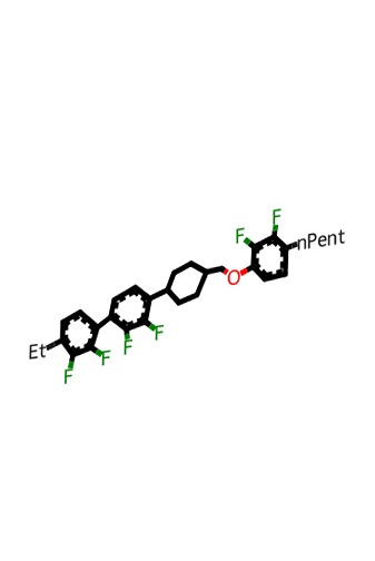 CCCCCc1ccc(OCC2CCC(c3ccc(-c4ccc(CC)c(F)c4F)c(F)c3F)CC2)c(F)c1F